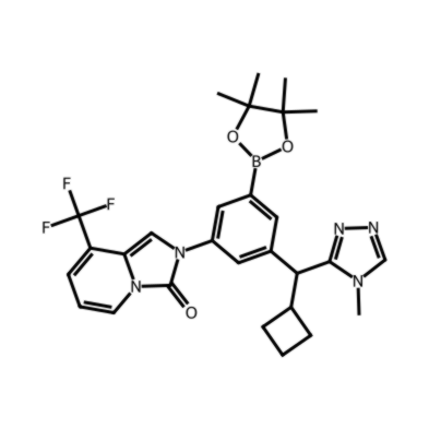 Cn1cnnc1C(c1cc(B2OC(C)(C)C(C)(C)O2)cc(-n2cc3c(C(F)(F)F)cccn3c2=O)c1)C1CCC1